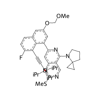 COCOc1cc(-c2cc3nc(SC)ncc3c(N3CCCC34CC4)n2)c2c(C#C[Si](C(C)C)(C(C)C)C(C)C)c(F)ccc2c1